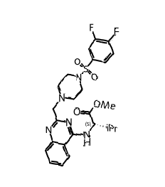 COC(=O)[C@@H](Nc1nc(CN2CCN(S(=O)(=O)c3ccc(F)c(F)c3)CC2)nc2ccccc12)C(C)C